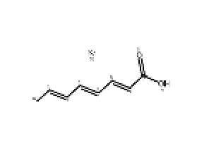 CC=CC=CC=CC(=O)O.[K]